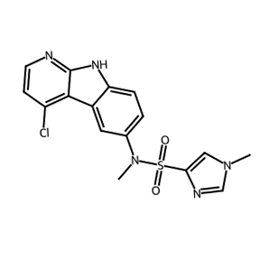 CN(c1ccc2[nH]c3nccc(Cl)c3c2c1)S(=O)(=O)c1cn(C)cn1